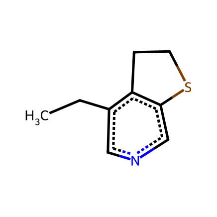 CCc1cncc2c1CCS2